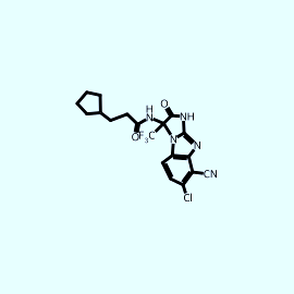 N#Cc1c(Cl)ccc2c1nc1n2C(NC(=O)CCC2CCCC2)(C(F)(F)F)C(=O)N1